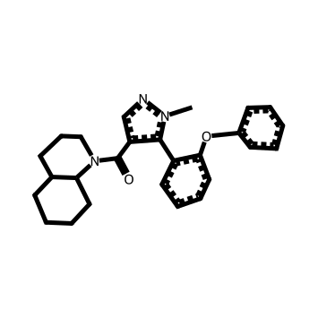 Cn1ncc(C(=O)N2CCCC3CCCCC32)c1-c1ccccc1Oc1ccccc1